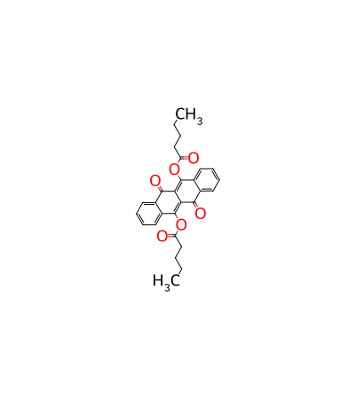 CCCCC(=O)OC1=C2C(=O)c3ccccc3C(OC(=O)CCCC)=C2C(=O)c2ccccc21